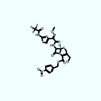 CO/N=C(/C(=O)NC1C(=O)N2C(C(=O)OCc3ccc([N+](=O)[O-])cc3)=C(CCl)CS[C@H]12)c1csc(NC(=O)C(F)(F)F)n1